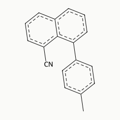 Cc1ccc(-c2cccc3cccc(C#N)c23)cc1